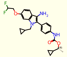 C[C@@H](OC(=O)Nc1ccc(-c2c(N)c3ccc(OCC(F)F)cc3n2CC2CC2)cc1)C1CC1